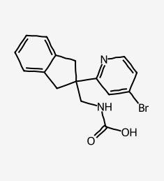 O=C(O)NCC1(c2cc(Br)ccn2)Cc2ccccc2C1